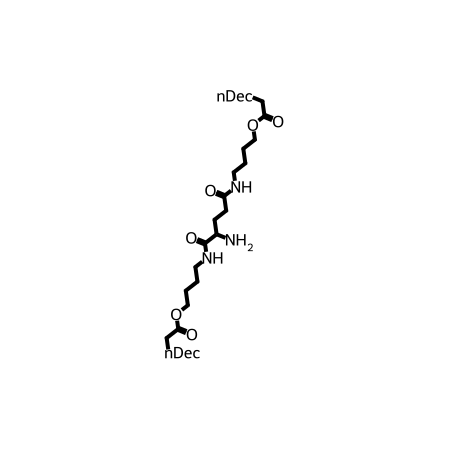 CCCCCCCCCCCC(=O)OCCCCNC(=O)CCC(N)C(=O)NCCCCOC(=O)CCCCCCCCCCC